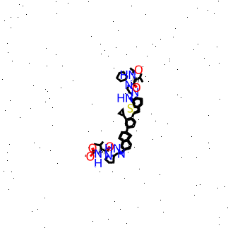 COC(=O)N[C@H](C(=O)N1CCCC1c1nc2ccc3cc(-c4ccc(-c5cc6ccc7nc(CN(C(=O)[C@@H](NC(C)=O)C(C)C)C8CCCCC8)[nH]c7c6s5)c(C5CC5)c4)ccc3c2[nH]1)C(C)C